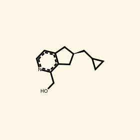 OCc1nccc2c1C[C@H](CC1CC1)C2